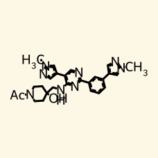 CC(=O)N1CCC(O)(CNc2nc(-c3cccc(-c4cnn(C)c4)c3)ncc2-c2cnn(C)c2)CC1